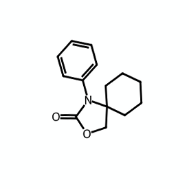 O=C1OCC2(CCCCC2)N1c1ccccc1